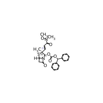 CON(C)C(=O)/C=C/[C@]1(C)S[C@@H]2CC(=O)N2[C@H]1OC(=O)OC(c1ccccc1)c1ccccc1